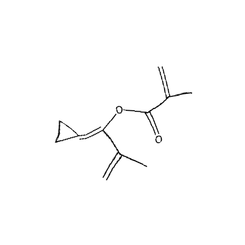 C=C(C)C(=O)OC(C(=C)C)=C1CC1